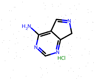 Cl.Nc1ncnc2c1C=NC2